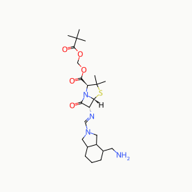 CC(C)(C)C(=O)OCOC(=O)[C@@H]1N2C(=O)[C@@H](N=CN3CC4CCCC(CN)C4C3)[C@H]2SC1(C)C